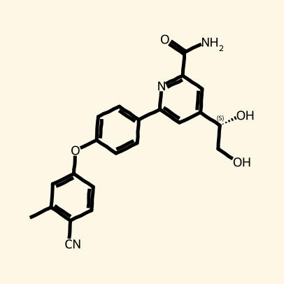 Cc1cc(Oc2ccc(-c3cc([C@H](O)CO)cc(C(N)=O)n3)cc2)ccc1C#N